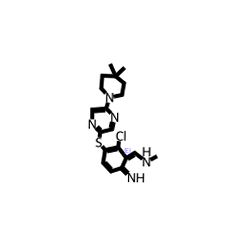 CN/C=C1\C(=N)C=CC(Sc2cnc(N3CCC(C)(C)CC3)cn2)=C1Cl